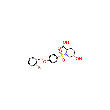 O=C(O)C1CCC(O)CN1S(=O)(=O)c1ccc(OCc2ccccc2Br)cc1